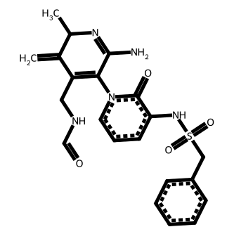 C=C1C(CNC=O)=C(n2cccc(NS(=O)(=O)Cc3ccccc3)c2=O)C(N)=NC1C